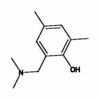 Cc1cc(C)c(O)c(CN(C)C)c1